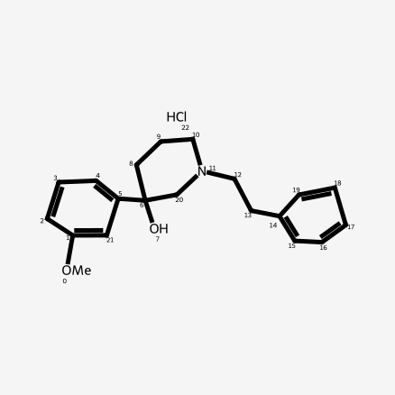 COc1cccc(C2(O)CCCN(CCc3ccccc3)C2)c1.Cl